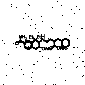 CCC1(CC)c2cc(C(N)=O)ccc2C[C@@H](OC)[C@@H]1NCCC(CC1CCCCC1)C(=O)OC